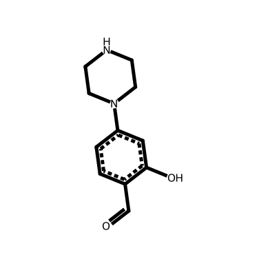 O=Cc1ccc(N2CCNCC2)cc1O